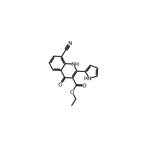 CCOC(=O)c1c(-c2ccc[nH]2)[nH]c2c(C#N)cccc2c1=O